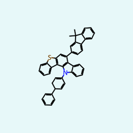 CC1(C)c2ccccc2-c2ccc(-c3cc4sc5ccccc5c4c4c3c3ccccc3n4C3=CCC(c4ccccc4)C=C3)cc21